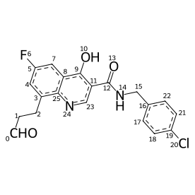 O=CCCc1cc(F)cc2c(O)c(C(=O)NCc3ccc(Cl)cc3)cnc12